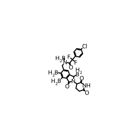 Bc1c(CN(B)C(=O)C(F)(F)c2ccc(Cl)cc2)cc2c(c1B)C(=O)N(C1CCC(=O)NC1=O)C2B